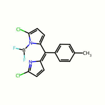 Cc1ccc(/C(=C2\C=CC(Cl)=N2)c2ccc(Cl)n2B(F)F)cc1